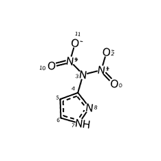 O=[N+]([O-])N(c1cc[nH]n1)[N+](=O)[O-]